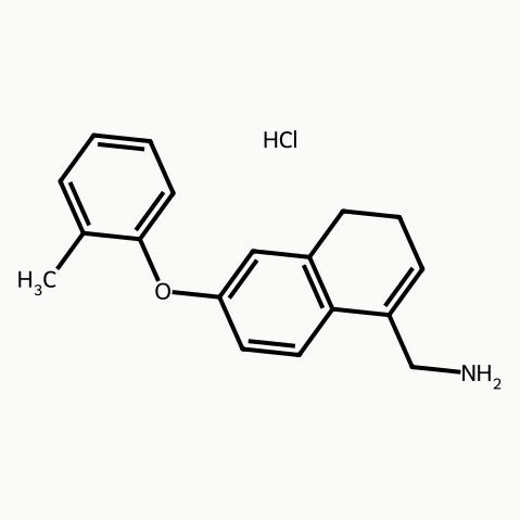 Cc1ccccc1Oc1ccc2c(c1)CCC=C2CN.Cl